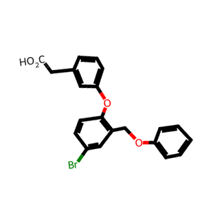 O=C(O)Cc1cccc(Oc2ccc(Br)cc2COc2ccccc2)c1